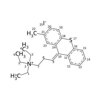 CC[N+](CC)(CC)CCC=C1c2ccccc2Sc2ccc(C)cc21.[I-]